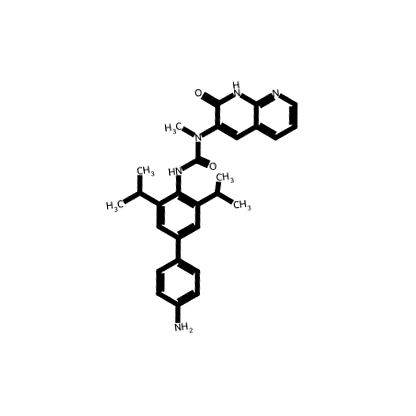 CC(C)c1cc(-c2ccc(N)cc2)cc(C(C)C)c1NC(=O)N(C)c1cc2cccnc2[nH]c1=O